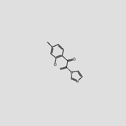 C=C(C(=O)c1ccc(C)cc1Cl)n1ccnc1